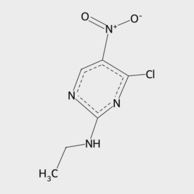 CCNc1ncc([N+](=O)[O-])c(Cl)n1